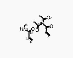 C=CC(=O)N(C(C)=O)C(C)=O.C=CC(=O)NC